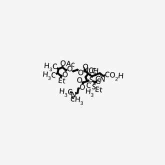 CCSC(=S)SC(C)(CC(C)(CC(C)(C#N)CCC(=O)O)C(=O)OCCOC1OC(CC)C(C)C(C)C1OC(C)=O)C(=O)OCCN(C)C